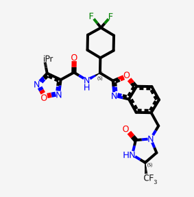 CC(C)c1nonc1C(=O)N[C@H](c1nc2cc(CN3C[C@@H](C(F)(F)F)NC3=O)ccc2o1)C1CCC(F)(F)CC1